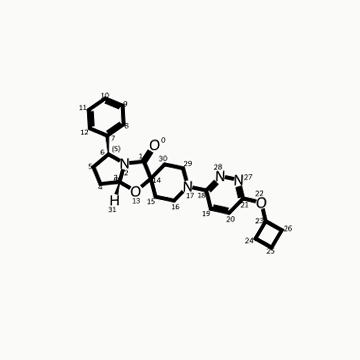 O=C1N2[C@@H](CC[C@H]2c2ccccc2)OC12CCN(c1ccc(OC3CCC3)nn1)CC2